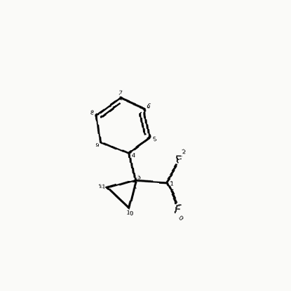 FC(F)C1(C2C=CC=CC2)CC1